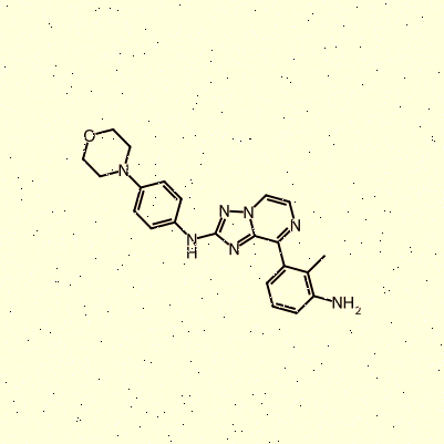 Cc1c(N)cccc1-c1nccn2nc(Nc3ccc(N4CCOCC4)cc3)nc12